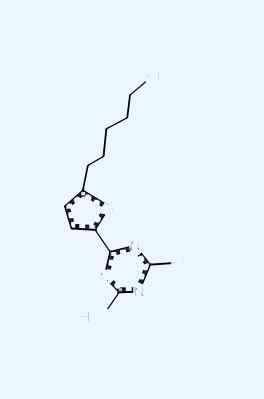 CCCCCCc1ccc(-c2nc(C)nc(C)n2)s1